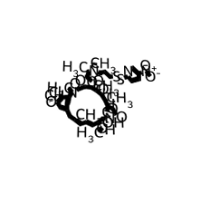 COc1cc2cc(c1Cl)N(C)C(=O)C[C@H](OC(=O)[C@H](C)N(C)C(=O)CCSSc1ccc([N+](=O)[O-])cn1)[C@]1(C)O[C@H]1[C@H](C)[C@@H]1C[C@@](O)(NC(=O)O1)[C@H](OC)/C=C/C=C(\C)C2